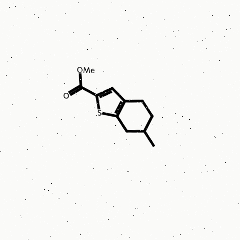 COC(=O)c1cc2c(s1)CC(C)CC2